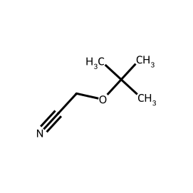 CC(C)(C)OCC#N